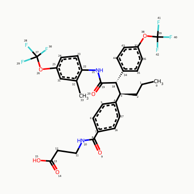 CCC[C@@H](c1ccc(C(=O)NCCC(=O)O)cc1)[C@H](C(=O)Nc1ccc(OC(F)(F)F)cc1C)c1ccc(OC(F)(F)F)cc1